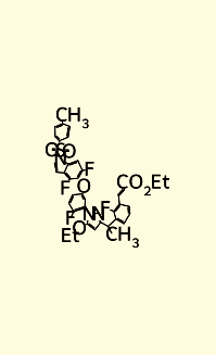 CCOC(=O)C=Cc1cccc(C(C)c2cc(OCC)n(-c3cc(Oc4c(F)cc5c(ccn5S(=O)(=O)c5ccc(C)cc5)c4F)ccc3F)n2)c1F